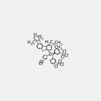 CC(C)(C)c1ccc2c(c1)-c1cc(C(C)(C)C)c[c]([Zr+2](=[C](c3cccc(C(Cl)(Cl)Cl)c3)c3cccc(C(Cl)(Cl)Cl)c3)[CH]3C=CC=C3)c1C2.[Cl-].[Cl-]